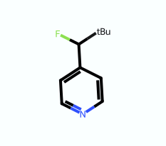 CC(C)(C)C(F)c1ccncc1